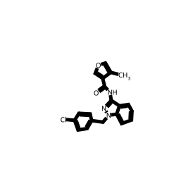 Cc1cocc1C(=O)Nc1nn(Cc2ccc(Cl)cc2)c2ccccc12